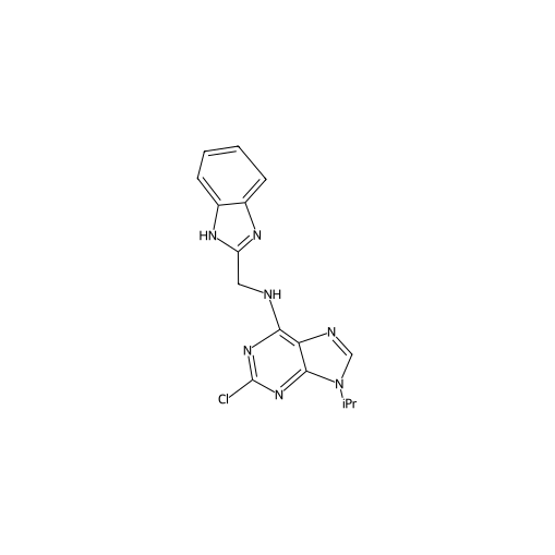 CC(C)n1cnc2c(NCc3nc4ccccc4[nH]3)nc(Cl)nc21